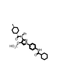 CC(C)N(c1nn(-c2ccc(NC(=O)C3CCCCC3)cc2)cc1OC(=O)O)C(=O)[C@H]1CC[C@H](C)CC1